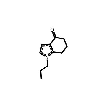 CCCn1ccc2c1CCCC2=O